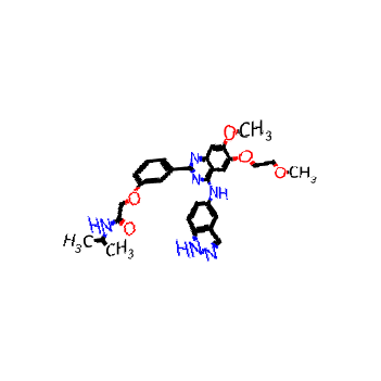 COCCOc1cc2c(Nc3ccc4[nH]ncc4c3)nc(-c3cccc(OCC(=O)NC(C)C)c3)nc2cc1OC